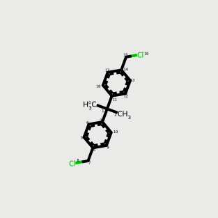 CC(C)(c1ccc(CCl)cc1)c1ccc(CCl)cc1